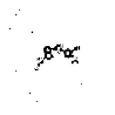 CSCCNC1CCc2c(-c3cnc(-c4ccc(OC(C)C)c(C#N)c4)s3)cccc21